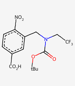 CC(C)(C)OC(=O)N(Cc1cc(C(=O)O)ccc1[N+](=O)[O-])CC(F)(F)F